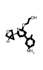 Cc1ccc(N)cc1-c1cc(OCCO)nc([C@]23COC[C@H]2C3)c1